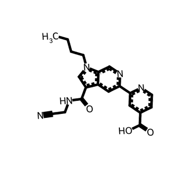 CCCCn1cc(C(=O)NCC#N)c2cc(-c3cc(C(=O)O)ccn3)ncc21